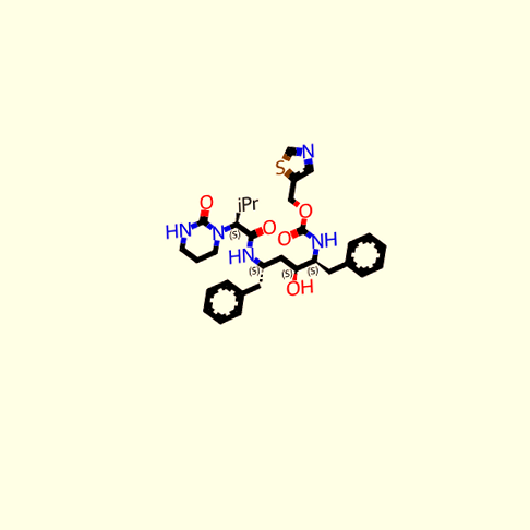 CC(C)[C@@H](C(=O)N[C@@H](Cc1ccccc1)C[C@H](O)[C@H](Cc1ccccc1)NC(=O)OCc1cncs1)N1CCCNC1=O